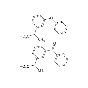 CC(C(=O)O)c1cccc(C(=O)c2ccccc2)c1.CC(C(=O)O)c1cccc(Oc2ccccc2)c1